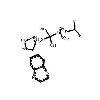 C1CNNN1.CCC(N)(O)O.FC(F)F.O=S(=O)(O)O.c1ccc2nccnc2c1